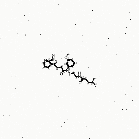 COc1cccc(N(CCCNC(=O)CCC(C)C)C(=O)CCc2n[nH]c3ncccc23)c1